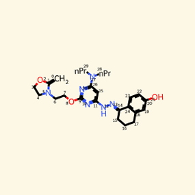 C=C1OCCN1CCOc1nc(N/N=C2\CCCc3cc(O)ccc32)cc(N(CCC)CCC)n1